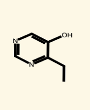 CCc1ncncc1O